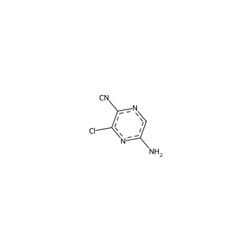 [C-]#[N+]c1ncc(N)nc1Cl